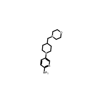 Nc1ccc(N2CCC(CN3CCOCC3)CC2)cn1